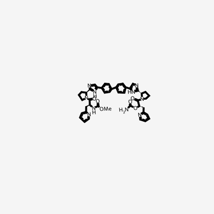 COC(=O)N[C@@H](Cc1ccccn1)C(=O)N1CCC[C@H]1c1ncc(-c2ccc(-c3ccc(-c4cnc([C@@H]5CCCN5C(=O)[C@H](Cc5ccccn5)OC(N)=O)[nH]4)cc3)cc2)[nH]1